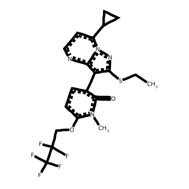 CCSc1nn2c(C3CC3)ccnc2c1-c1ccc(OCC(F)(F)C(F)(F)F)n(C)c1=O